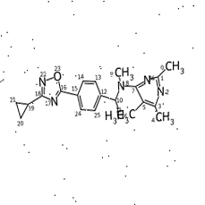 Cc1nc(C)c(C)c(N(C)C(C)c2ccc(-c3nc(C4CC4)no3)cc2)n1